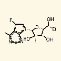 CC[C@@H](O)[C@H]1O[C@@H](n2cc(F)c3c(C)ncnc32)[C@](C)(O)[C@@H]1O